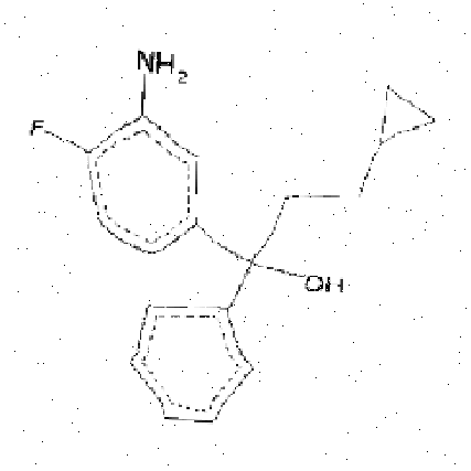 Nc1cc(C(O)(CCC2CC2)c2ccccc2)ccc1F